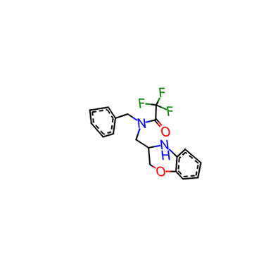 O=C(N(Cc1ccccc1)CC1COc2ccccc2N1)C(F)(F)F